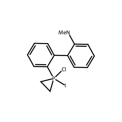 CNc1ccccc1-c1ccccc1P1(Cl)(I)CC1